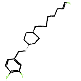 FC=CCCCCC[C@H]1CC[C@H](CCc2ccc(F)c(F)c2)CC1